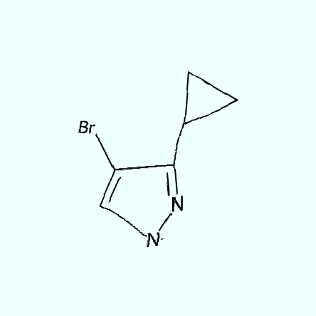 BrC1=C[N]N=C1C1CC1